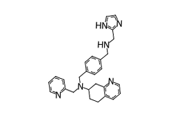 c1ccc(CN(Cc2ccc(CNCc3ncc[nH]3)cc2)C2CCc3cccnc3C2)nc1